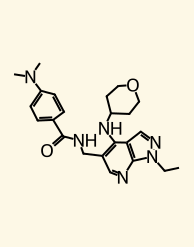 CCn1ncc2c(NC3CCOCC3)c(CNC(=O)c3ccc(N(C)C)cc3)cnc21